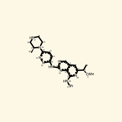 CO[C@H](C)c1cc2cnc(Nc3ccc(N4CCNC[C@@H]4C)nn3)nc2c(NC(C)C)n1